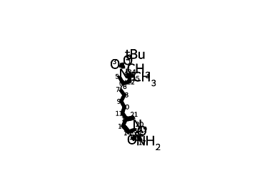 CC(C)(C)OC(=O)N1C[C@@H](CCCCCc2ccc(S(N)(=O)=O)nc2)CC1(C)C